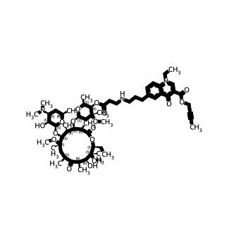 CC#CCOC(=O)c1cn(CC)c2ccc(CCCNCCC(=O)O[C@@H]3[C@H](C)O[C@H](O[C@@H]4[C@@H](C)[C@H](O[C@@H]5O[C@H](C)C[C@H](N(C)C)[C@@H]5O)[C@](C)(OC)C[C@H](C)C(=O)[C@H](C)[C@@H](O)[C@](C)(O)[C@H](CC)OC(=O)[C@@H]4C)C[C@]3(C)OC)cc2c1=O